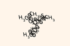 COC[C@H](C)Oc1cc(NC(=O)c2csc(C)n2)cc(Oc2ccc(S(C)(=O)=O)cc2)c1